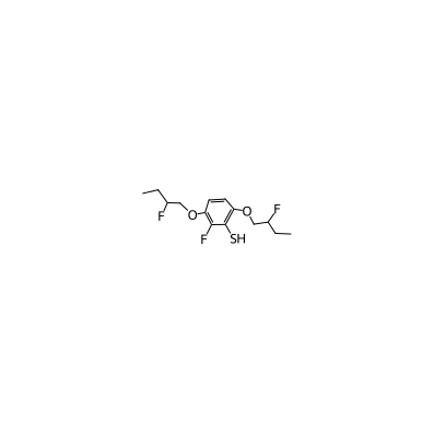 CCC(F)COc1ccc(OCC(F)CC)c(S)c1F